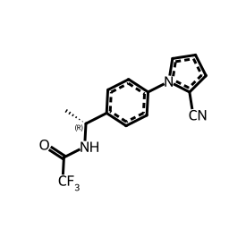 C[C@@H](NC(=O)C(F)(F)F)c1ccc(-n2cccc2C#N)cc1